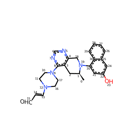 C[C@H]1Cc2c(ncnc2N2CCN(C=CC=O)CC2)CN1c1cc(O)cc2ccccc12